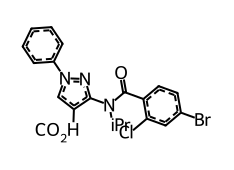 CC(C)N(C(=O)c1ccc(Br)cc1Cl)c1nn(-c2ccccc2)cc1C(=O)O